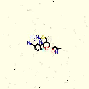 Cc1cc([C@H]2C[C@H]3[C@@H](C)SC(N)=NC3(c3cc(C#N)ccc3F)CO2)on1